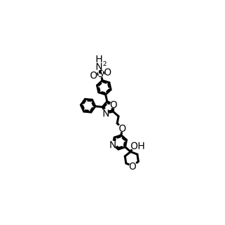 NS(=O)(=O)c1ccc(-c2oc(CCOc3cncc(C4(O)CCOCC4)c3)nc2-c2ccccc2)cc1